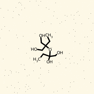 CCC(O)(CO)OC(CC)(CO)CO